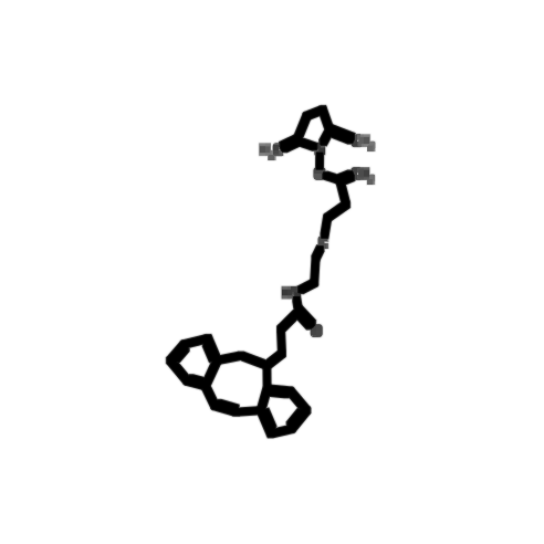 C=C(CCCCCNC(=O)CCC1Cc2ccccc2/C=C\c2ccccc21)ON1C(=C)CCC1=C